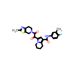 Cc1nc2c(s1)CN(C(=O)C(=O)c1cc(C(=O)Nc3ccc(F)c(C)c3)c3n1CCCC3)CC2